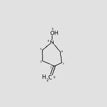 C=C1CCN(O)CC1